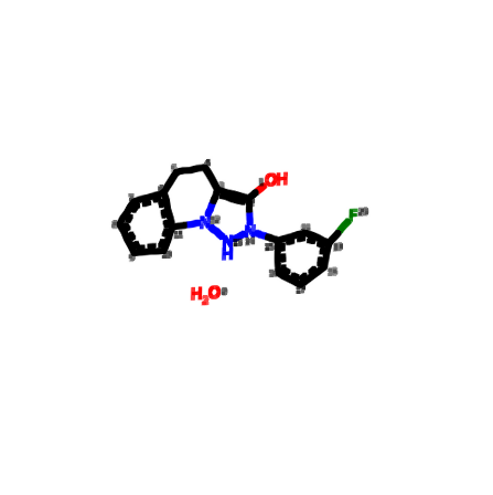 O.OC1=C2CCc3ccccc3N2NN1c1cccc(F)c1